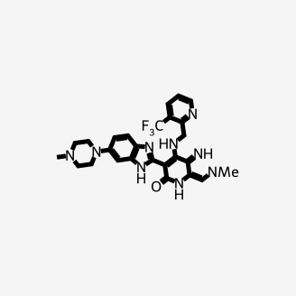 CN/C=C1/NC(=O)C(c2nc3ccc(N4CCN(C)CC4)cc3[nH]2)=C(NCc2ncccc2C(F)(F)F)C1=N